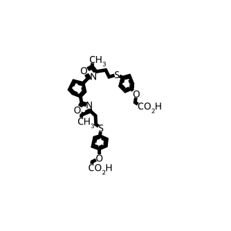 Cc1oc(-c2cccc(-c3nc(CCSc4ccc(OCC(=O)O)cc4)c(C)o3)c2)nc1CCSc1ccc(OCC(=O)O)cc1